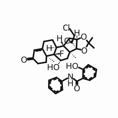 CC1(C)O[C@@H]2C[C@H]3[C@@H]4CCC5=CC(=O)CC[C@]5(C)[C@@]4(F)[C@@H](O)C[C@]3(C)[C@]2(C(=O)CCl)O1.O=C(Nc1ccccc1)c1ccccc1O